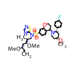 C=C/C(=C\C(OC)=C(/C)CN(c1ncns1)S(=O)(=O)c1ccc2c(c1)OCC[C@@H]2N1CC[C@@H](OC(F)(F)F)C[C@H]1c1ccc(F)cc1)OC